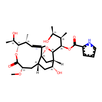 CO[C@H]1C[C@H]2C[C@@H](O)[C@@H]3C[C@]2(O[C@H]3[C@H](OC(=O)c2ccc[nH]2)[C@H](C)[C@H](C)O)/C(C)=C/[C@@H](C)[C@@H]([C@@H](C)O)OC1=O